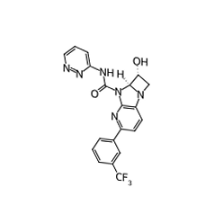 O=C(Nc1cccnn1)N1c2nc(-c3cccc(C(F)(F)F)c3)ccc2N2C[C@@H](O)[C@@H]21